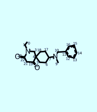 CCN1CC2(CCC(N(C)Cc3ccccc3)CC2)C(=O)CC1=O